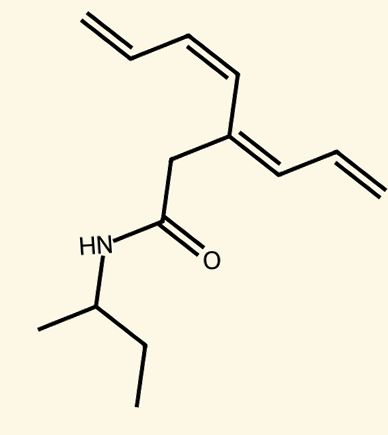 C=C/C=C\C(=C/C=C)CC(=O)NC(C)CC